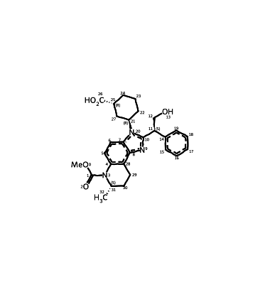 COC(=O)N1c2ccc3c(nc([C@@H](CO)c4ccccc4)n3[C@@H]3CCC[C@@H](C(=O)O)C3)c2CC[C@@H]1C